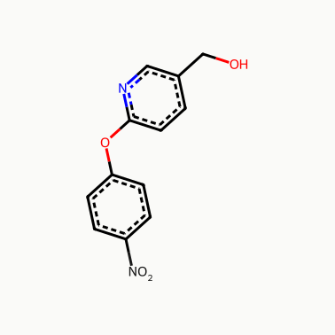 O=[N+]([O-])c1ccc(Oc2ccc(CO)cn2)cc1